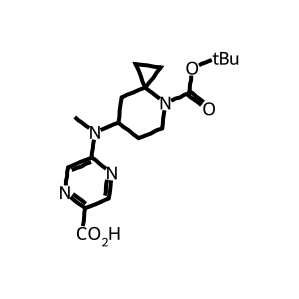 CN(c1cnc(C(=O)O)cn1)C1CCN(C(=O)OC(C)(C)C)C2(CC2)C1